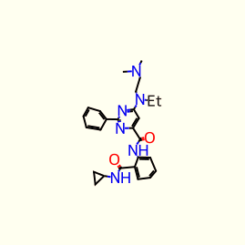 CCN(CCN(C)C)c1cc(C(=O)Nc2ccccc2C(=O)NC2CC2)nc(-c2ccccc2)n1